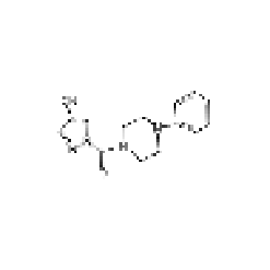 N#Cc1cnn(C(=O)N2CCN(c3ccccc3)CC2)c1